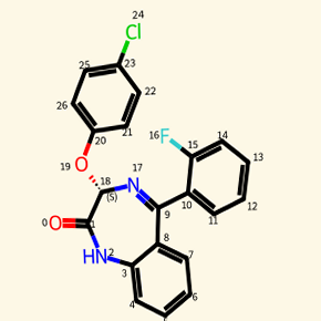 O=C1Nc2ccccc2C(c2ccccc2F)=N[C@H]1Oc1ccc(Cl)cc1